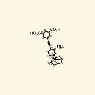 CC12CC3CC(C1)C(c1ccc(C#Cc4cc(C(=O)O)cc(C(=O)O)c4)cc1)C(C)(C3)C2.Cl.Cl